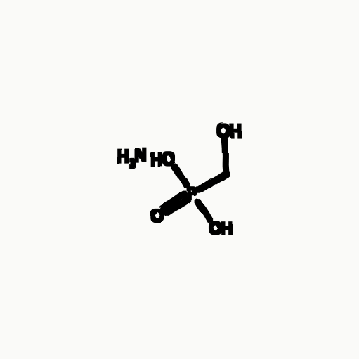 N.O=P(O)(O)CO